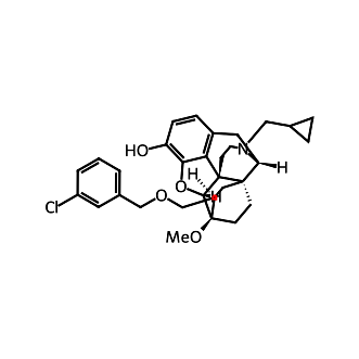 CO[C@]12CC[C@@]3(C[C@@H]1COCc1cccc(Cl)c1)[C@H]1Cc4ccc(O)c5c4[C@@]3(CCN1CC1CC1)[C@H]2O5